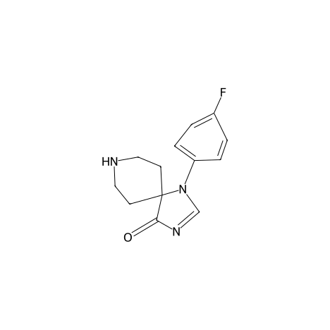 O=C1N=CN(c2ccc(F)cc2)C12CCNCC2